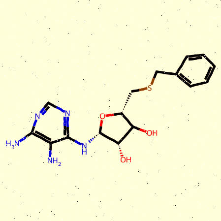 Nc1ncnc(N[C@@H]2O[C@H](CSCc3ccccc3)C(O)[C@@H]2O)c1N